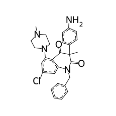 CN1CCN(c2cc(Cl)cc3c2C(=O)C(C)(c2ccc(N)cc2)C(=O)N3Cc2ccccc2)CC1